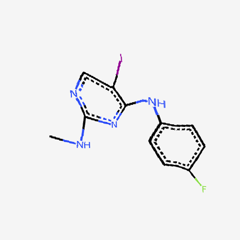 CNc1ncc(I)c(Nc2ccc(F)cc2)n1